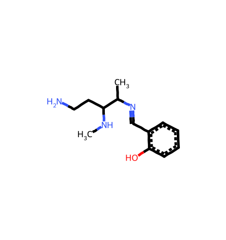 CNC(CCN)C(C)N=Cc1ccccc1O